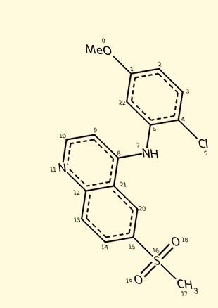 COc1ccc(Cl)c(Nc2ccnc3ccc(S(C)(=O)=O)cc23)c1